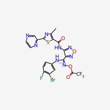 Cc1nc(-c2cnccn2)sc1C(=O)Nc1nonc1/C(=N\OC(=O)C(F)(F)F)Nc1ccc(F)c(Br)c1